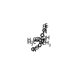 Cn1c(C(Cc2ccc(-c3ccc(C(F)(F)F)cn3)cc2)C(=O)O)c(C(=O)CC(C)(C)C)c2cc(OCc3ccccn3)ccc21